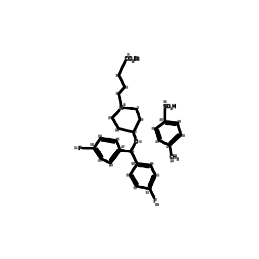 CCOC(=O)CCCN1CCC(OC(c2ccc(F)cc2)c2ccc(F)cc2)CC1.Cc1ccc(S(=O)(=O)O)cc1